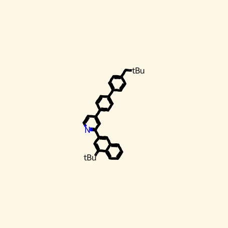 CC(C)(C)Cc1ccc(-c2ccc(-c3ccnc(-c4cc(C(C)(C)C)c5ccccc5c4)c3)cc2)cc1